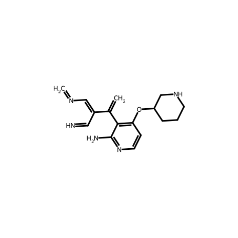 C=N/C=C(\C=N)C(=C)c1c(OC2CCCNC2)ccnc1N